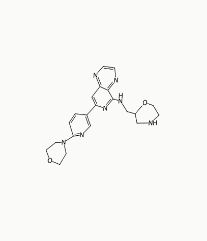 c1cnc2c(NCC3CNCCO3)nc(-c3ccc(N4CCOCC4)nc3)cc2n1